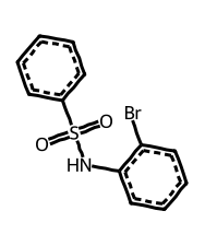 O=S(=O)(Nc1ccccc1Br)c1ccccc1